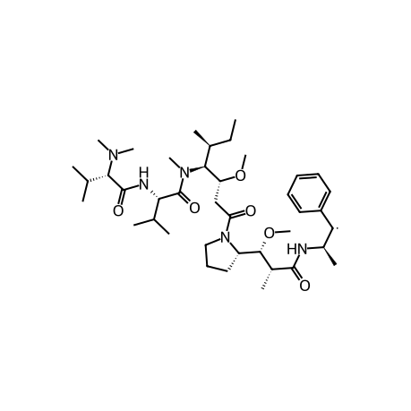 CC[C@H](C)[C@@H]([C@@H](CC(=O)N1CCC[C@H]1[C@H](OC)[C@@H](C)C(=O)N[C@H](C)[CH]c1ccccc1)OC)N(C)C(=O)[C@@H](NC(=O)[C@H](C(C)C)N(C)C)C(C)C